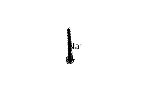 CCCCCCCCCCCCCCCCCC/C=C/C=C/OS(=O)(=O)[O-].[Na+]